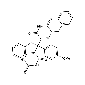 COc1ccc(C(Cc2ccccc2)(c2c[nH]c(=O)[nH]c2=O)c2cn(Cc3ccccc3)c(=O)[nH]c2=O)cc1